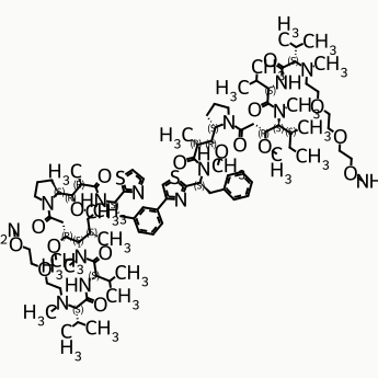 CC[C@H](C)[C@@H]([C@@H](CC(=O)N1CCC[C@H]1[C@H](OC)[C@@H](C)C(=O)N[C@@H](Cc1cccc(-c2csc([C@H](Cc3ccccc3)NC(=O)[C@H](C)[C@@H](OC)[C@@H]3CCCN3C(=O)C[C@@H](OC)[C@H]([C@@H](C)CC)N(C)C(=O)[C@@H](NC(=O)[C@H](C(C)C)N(C)CCOCCOCCON)C(C)C)n2)c1)c1nccs1)OC)N(C)C(=O)[C@@H](NC(=O)[C@H](C(C)C)N(C)CCOCCON)C(C)C